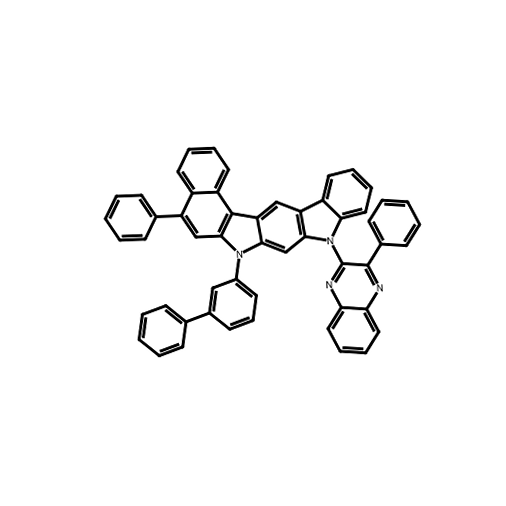 c1ccc(-c2cccc(-n3c4cc5c(cc4c4c6ccccc6c(-c6ccccc6)cc43)c3ccccc3n5-c3nc4ccccc4nc3-c3ccccc3)c2)cc1